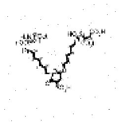 CC(C)CCCCCCOC(=O)CC(C(=O)OCCCCCCC(C)C)S(=O)(=O)O.CCCCCCCCNCCCCCCCC.N.O=C(O)CC(C(=O)O)S(=O)(=O)O